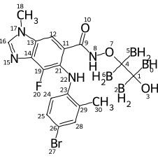 BC(B)(O)C(B)(B)ONC(=O)c1cc2c(ncn2C)c(F)c1Nc1ccc(Br)cc1C